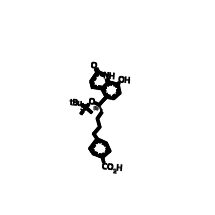 CC(C)(C)[Si](C)(C)O[C@@H](CCCCc1ccc(C(=O)O)cc1)c1ccc(O)c2[nH]c(=O)ccc12